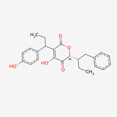 CCC(C1=C(O)C(=O)[C@@H](C(CC)Cc2ccccc2)OC1=O)c1ccc(O)cc1